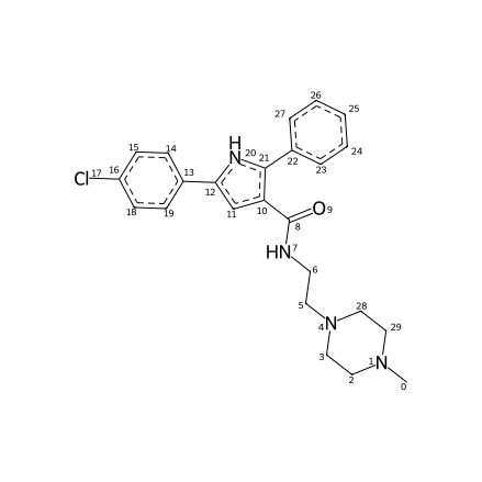 CN1CCN(CCNC(=O)c2cc(-c3ccc(Cl)cc3)[nH]c2-c2ccccc2)CC1